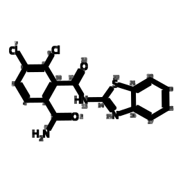 NC(=O)c1ccc(Cl)c(Cl)c1C(=O)Nc1nc2ccccc2s1